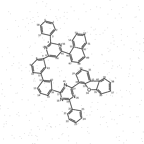 c1ccc(-c2nc(-c3cccc(-c4cccc(-c5nc(-c6ccccc6)nc(-c6cccc7c6oc6ccccc67)n5)c4)c3)cc(-c3cccc4ccccc34)n2)cc1